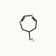 NC1CC=NC=NC1